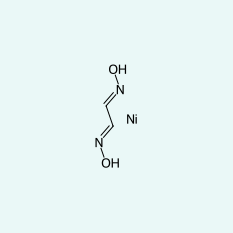 O/N=C/C=N/O.[Ni]